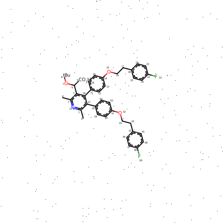 Cc1nc(C)c(C(OC(C)(C)C)C(=O)O)c(-c2ccc(OCCc3ccc(F)cc3)cc2)c1-c1ccc(OCCc2ccc(F)cc2)cc1